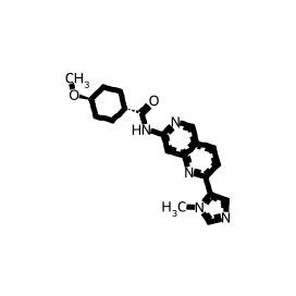 CO[C@H]1CC[C@H](C(=O)Nc2cc3nc(-c4cncn4C)ccc3cn2)CC1